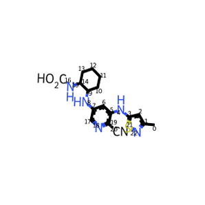 Cc1cc(Nc2cc(NC3CCCCC3NC(=O)O)cnc2C#N)sn1